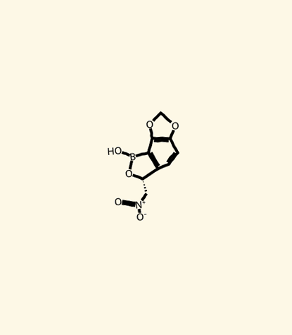 O=[N+]([O-])C[C@@H]1OB(O)c2c1ccc1c2OCO1